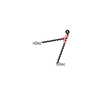 CCCCCCCCCCCCCCCCCCCCCCCCCCOC[C@H](COCc1ccccc1)OCCCCCCCCCCCCCCCCCCCCCCCCCC